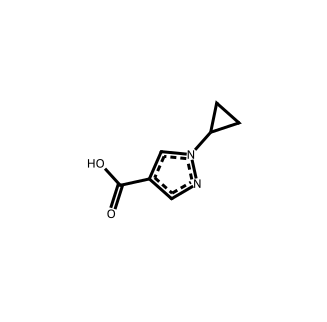 O=C(O)c1cnn(C2CC2)c1